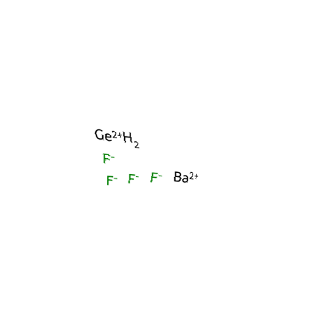 [Ba+2].[F-].[F-].[F-].[F-].[GeH2+2]